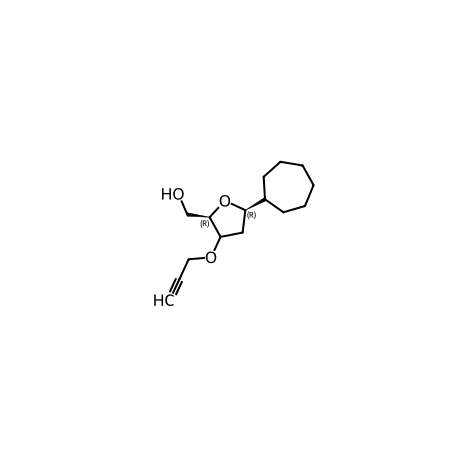 C#CCOC1C[C@H](C2CCCCCC2)O[C@@H]1CO